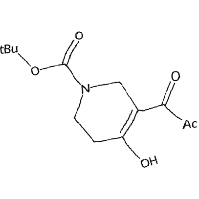 CC(=O)C(=O)C1=C(O)CCN(C(=O)OC(C)(C)C)C1